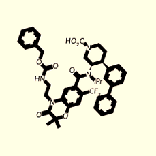 CC(C)N(C(=O)c1cc2c(cc1C(F)(F)F)OC(C)(C)C(=O)N2CCNC(=O)OCc1ccccc1)[C@@H]1CN(C(=O)O)CC[C@H]1c1cccc(-c2ccccc2)c1